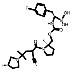 CC(C)(CC(C#N)C(=O)N1CCC[C@]1(C)COC(=O)N[C@@H](Cc1ccc(F)cc1)B(O)O)N1CC[C@@H](F)C1